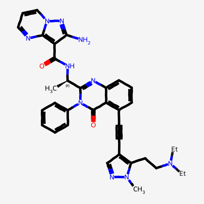 CCN(CC)CCc1c(C#Cc2cccc3nc([C@@H](C)NC(=O)c4c(N)nn5cccnc45)n(-c4ccccc4)c(=O)c23)cnn1C